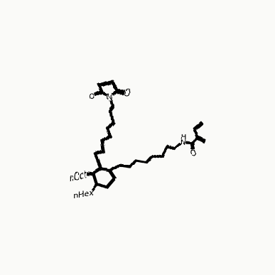 C=CC(=C)C(=O)NCCCCCCCCC1CCC(CCCCCC)C(CCCCCCCC)C1CCCCCCCCN1C(=O)C=CC1=O